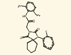 CC(C)c1cccc(C(C)C)c1NC(=O)CN1C(=O)N(c2ccccc2F)C2(CCCCC2)C1=O